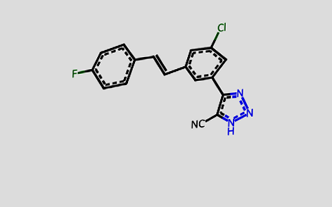 N#Cc1[nH]nnc1-c1cc(Cl)cc(C=Cc2ccc(F)cc2)c1